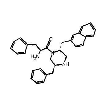 NC(Cc1ccccc1)C(=O)N1C[C@H](Cc2ccccc2)NC[C@H]1Cc1ccc2ccccc2c1